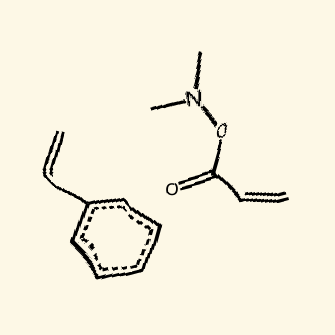 C=CC(=O)ON(C)C.C=Cc1ccccc1